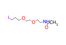 CC(=O)NCCOCCOCCCI